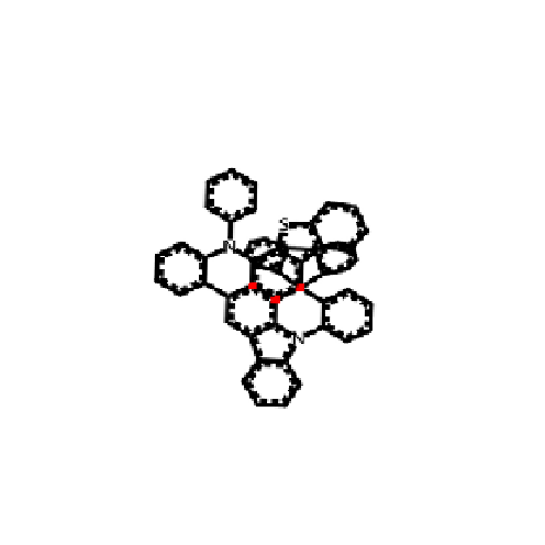 c1ccc(N(c2ccccc2-c2cc3c4c(c2)c2ccccc2n4-c2ccccc2C32c3ccccc3-c3ccccc32)c2cccc3c2sc2ccccc23)cc1